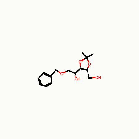 CC1(C)O[C@H]([C@H](O)COCc2ccccc2)[C@H](CO)O1